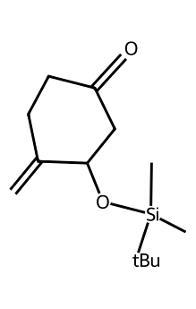 C=C1CCC(=O)CC1O[Si](C)(C)C(C)(C)C